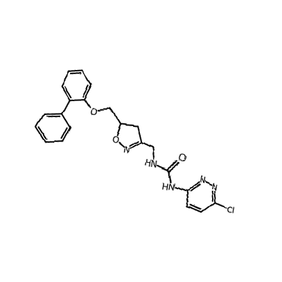 O=C(NCC1=NOC(COc2ccccc2-c2ccccc2)C1)Nc1ccc(Cl)nn1